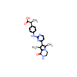 Cc1c(-c2ccnc(Nc3ccc(C(C)C(=O)O)cc3)n2)c(C)n2c1C(=O)NCC2